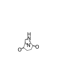 O=C1CCC(=O)c2nc1c[nH]2